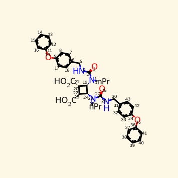 CCCN(C(=O)NCc1ccc(Oc2ccccc2)cc1)[C@H]1[C@@H](C(=O)O)[C@H](C(=O)O)[C@@H]1N(CCC)C(=O)NCc1ccc(Oc2ccccc2)cc1